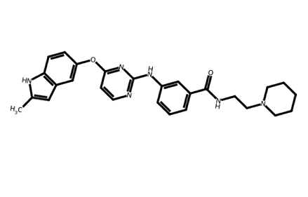 Cc1cc2cc(Oc3ccnc(Nc4cccc(C(=O)NCCN5CCCCC5)c4)n3)ccc2[nH]1